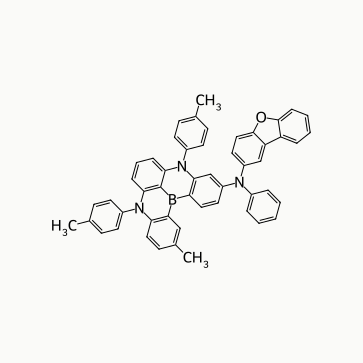 Cc1ccc(N2c3ccc(C)cc3B3c4ccc(N(c5ccccc5)c5ccc6oc7ccccc7c6c5)cc4N(c4ccc(C)cc4)c4cccc2c43)cc1